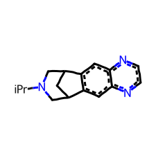 CC(C)N1CC2CC(C1)c1cc3nccnc3cc12